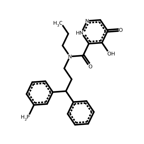 CCCN(CCC(c1ccccc1)c1cccc(P)c1)C(=O)c1[nH]ncc(=O)c1O